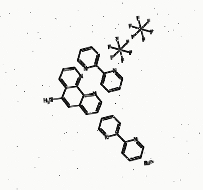 F[P-](F)(F)(F)(F)F.F[P-](F)(F)(F)(F)F.Nc1cc2cccnc2c2ncccc12.[Ru+2].c1ccc(-c2ccccn2)nc1.c1ccc(-c2ccccn2)nc1